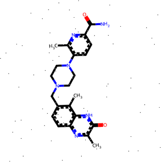 Cc1nc(C(N)=O)ccc1N1CCN(Cc2ccc3nc(C)c(=O)[nH]c3c2C)CC1